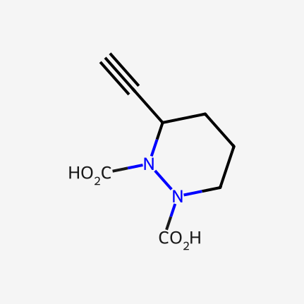 C#CC1CCCN(C(=O)O)N1C(=O)O